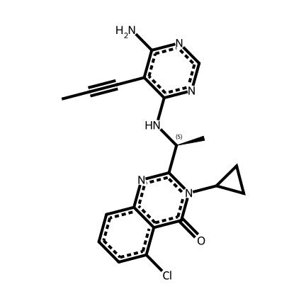 CC#Cc1c(N)ncnc1N[C@@H](C)c1nc2cccc(Cl)c2c(=O)n1C1CC1